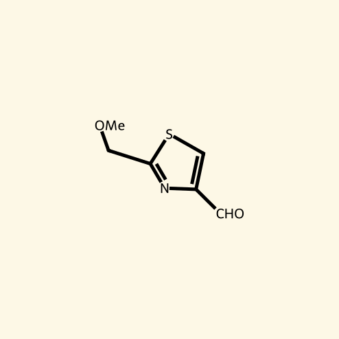 COCc1nc(C=O)cs1